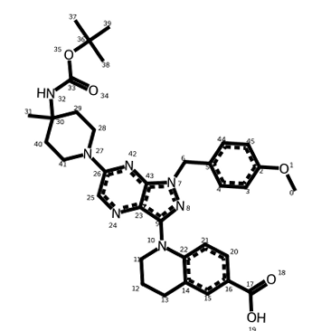 COc1ccc(Cn2nc(N3CCCc4cc(C(=O)O)ccc43)c3ncc(N4CCC(C)(NC(=O)OC(C)(C)C)CC4)nc32)cc1